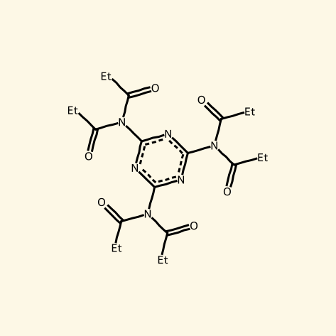 CCC(=O)N(C(=O)CC)c1nc(N(C(=O)CC)C(=O)CC)nc(N(C(=O)CC)C(=O)CC)n1